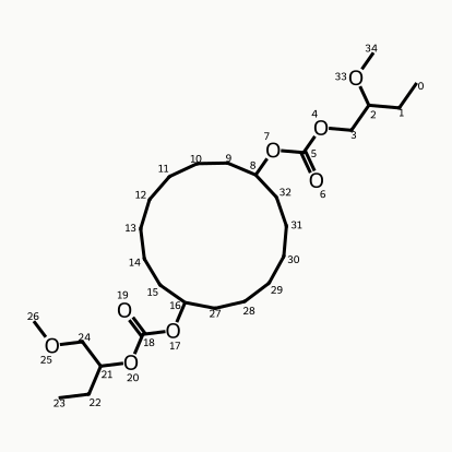 CCC(COC(=O)OC1CCCCCCCC(OC(=O)OC(CC)COC)CCCCCC1)OC